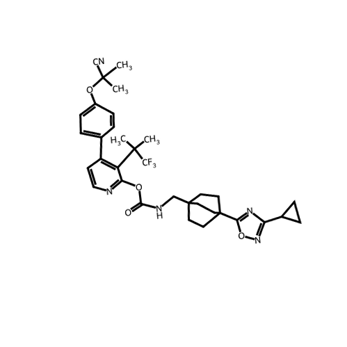 CC(C)(C#N)Oc1ccc(-c2ccnc(OC(=O)NCC34CCC(c5nc(C6CC6)no5)(CC3)CC4)c2C(C)(C)C(F)(F)F)cc1